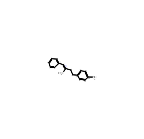 C/C(=C\c1ccccc1)CCc1ccc(O)cc1